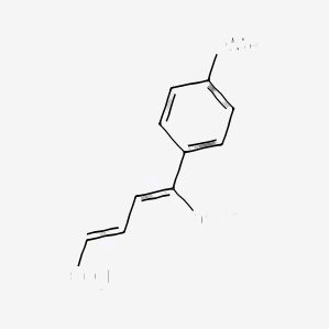 CCCCCCCC/C(=C\C=C\C(=O)O)c1ccc(OC)cc1